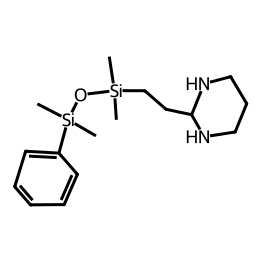 C[Si](C)(CCC1NCCCN1)O[Si](C)(C)c1ccccc1